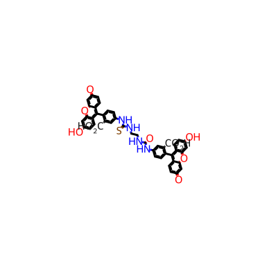 O=C(NCCNC(=S)Nc1ccc(-c2c3ccc(=O)cc-3oc3cc(O)ccc23)c(C(=O)O)c1)Nc1ccc(-c2c3ccc(=O)cc-3oc3cc(O)ccc23)c(C(=O)O)c1